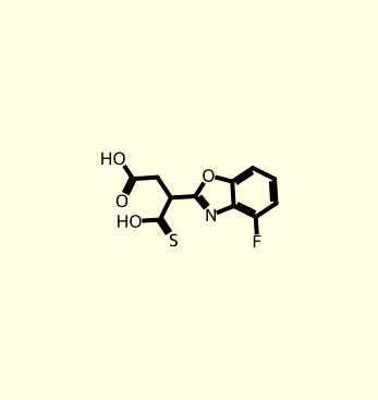 O=C(O)CC(C(O)=S)c1nc2c(F)cccc2o1